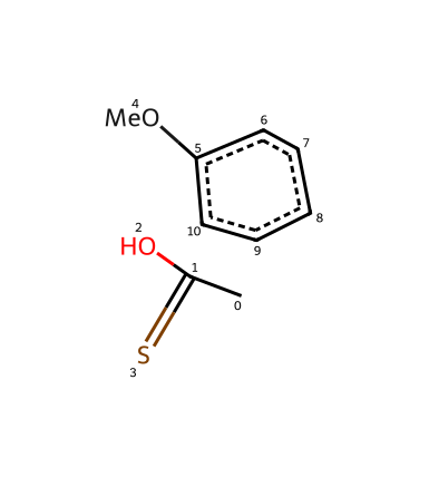 CC(O)=S.COc1ccccc1